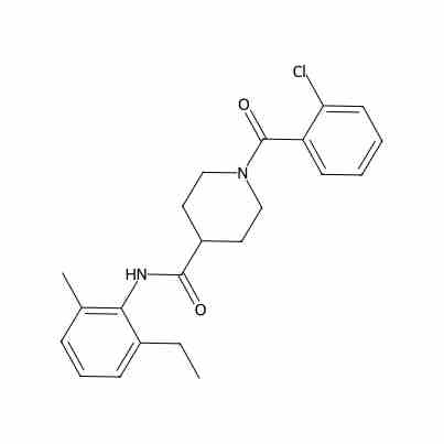 CCc1cccc(C)c1NC(=O)C1CCN(C(=O)c2ccccc2Cl)CC1